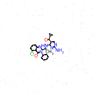 C[C@H](Nc1nc(N)ncc1C(=O)C1CC1)c1nc2cccc(Cl)c2c(=O)n1-c1ccccc1